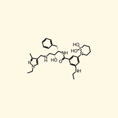 CCNc1cc(C(=O)N[C@@H](Cc2ccccc2)[C@H](O)CNCc2cn(CC)nc2C)cc(N2CCCCS2(O)O)c1